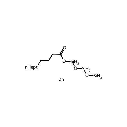 CCCCCCCCCCC(=O)O[SiH2]O[SiH2]O[SiH3].[Zn]